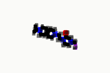 CC(C)N1CCC2(CCN(CCN3CCN(CI)CC3=O)CC2)CC1